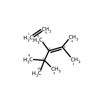 C=C.CC(C)=C(C)C(C)(C)C